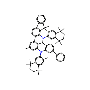 Cc1cc2c3c(c1)N(c1cc4c(cc1C)C(C)(C)CCC4(C)C)c1cc(-c4ccccc4)ccc1B3N(c1ccc3c(c1)C(C)(C)CCC3(C)C)c1c-2ccc2c1C(C)(C)c1ccccc1-2